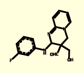 O=CC1(CO)CN2C=CC=CC2=NC1Nc1cccc(F)c1